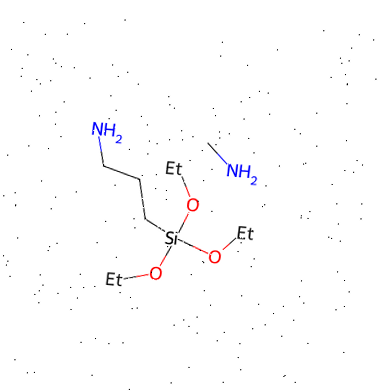 CCO[Si](CCCN)(OCC)OCC.CN